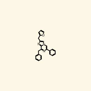 [c]1c(Cc2ccco2)nc2c(Cc3ccccc3)nc(-c3ccccc3)cn12